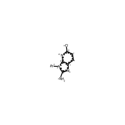 CC(C)n1c(N)nc2ccc(Cl)nc21